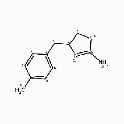 Cc1ccc(CC2CSC(N)=N2)cc1